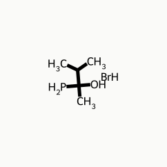 Br.CC(C)C(C)(O)P